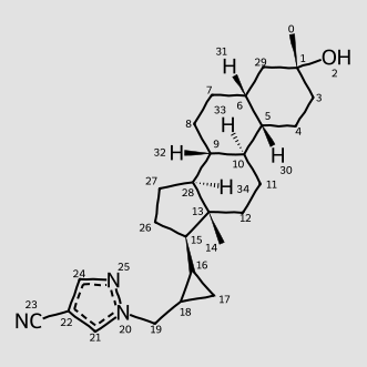 C[C@@]1(O)CC[C@H]2[C@H](CC[C@@H]3[C@@H]2CC[C@]2(C)[C@@H](C4CC4Cn4cc(C#N)cn4)CC[C@@H]32)C1